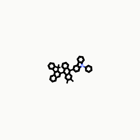 Cc1cc2c(-c3ccc4c(c3)c3ccccc3n4-c3ccccc3)c3ccccc3c(-c3cc4ccccc4c4c3C(C)(C)c3ccccc3-4)c2cc1C